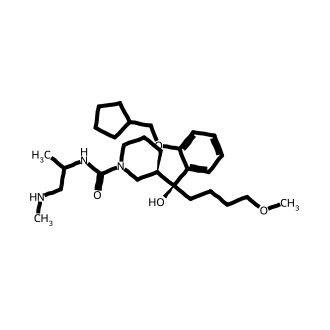 CNCC(C)NC(=O)N1CCC[C@@H]([C@@](O)(CCCCOC)c2ccccc2OCC2CCCC2)C1